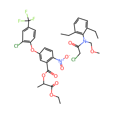 CCOC(=O)C(C)OC(=O)c1cc(Oc2ccc(C(F)(F)F)cc2Cl)ccc1[N+](=O)[O-].CCc1cccc(CC)c1N(COC)C(=O)CCl